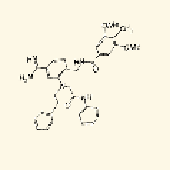 COc1cc(C(=O)NCc2ccc(C(=N)N)cc2N(CCc2ccccc2)CC(=O)Nc2ccccc2)cc(OC)c1C